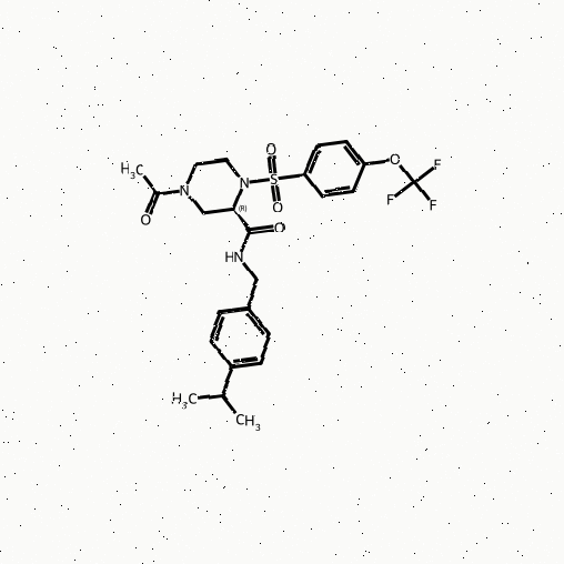 CC(=O)N1CCN(S(=O)(=O)c2ccc(OC(F)(F)F)cc2)[C@@H](C(=O)NCc2ccc(C(C)C)cc2)C1